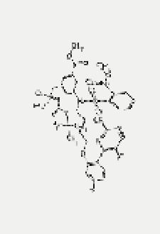 CO[N+](=O)c1cc(CS(C)(=O)=NC(=O)OC(C)(C)C)cc(N(CCCCOc2cc(F)ccc2-c2nc(Cl)ncc2F)S(=O)(=O)c2ccccc2[N+](=O)OC)c1